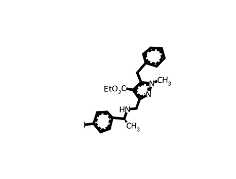 CCOC(=O)c1c(CN[C@@H](C)c2ccc(I)cc2)nn(C)c1Cc1ccccc1